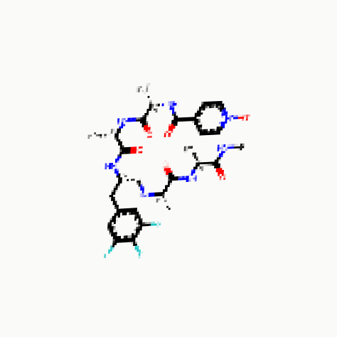 CCC[C@H](NC(=O)[C@@H](NC(=O)c1cc[n+]([O-])cc1)[C@@H](C)CC)C(=O)N[C@H](CN[C@@H](C)C(=O)N[C@H](C(=O)NCC)C(C)C)Cc1cc(F)c(F)c(F)c1